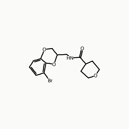 O=C(NCC1COc2cccc(Br)c2O1)C1CCOCC1